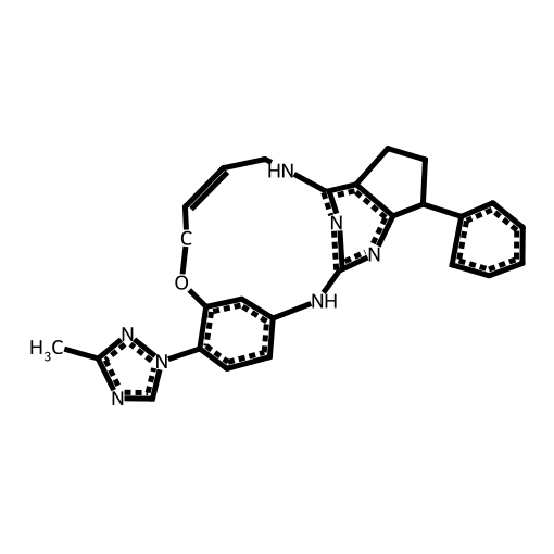 Cc1ncn(-c2ccc3cc2OC/C=C\CNc2nc(nc4c2CCC4c2ccccc2)N3)n1